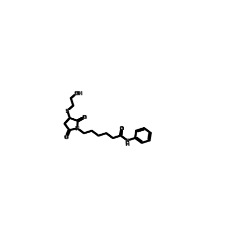 O=C(CCCCCN1C(=O)CC(SCCO)C1=O)Nc1ccccc1